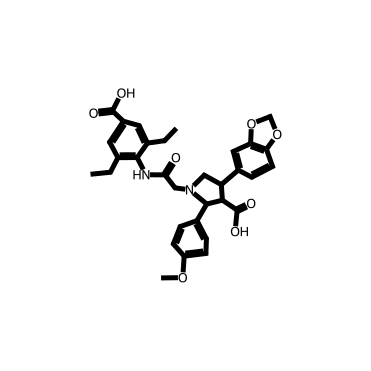 CCc1cc(C(=O)O)cc(CC)c1NC(=O)CN1CC(c2ccc3c(c2)OCO3)C(C(=O)O)C1c1ccc(OC)cc1